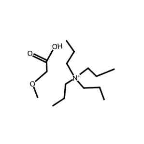 CCC[N+](CCC)(CCC)CCC.COCC(=O)O